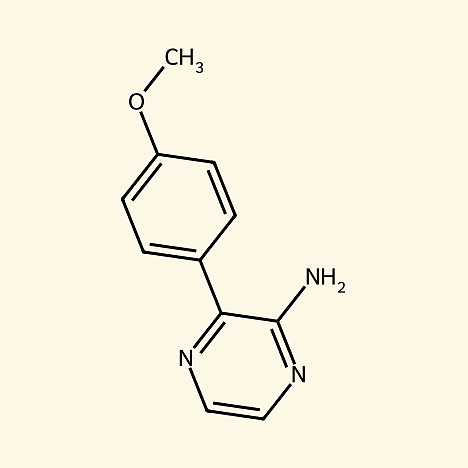 COc1ccc(-c2nccnc2N)cc1